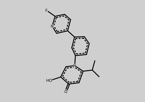 CC(C)c1cc(=O)c(O)cn1-c1cccc(-c2ccc(F)nc2)c1